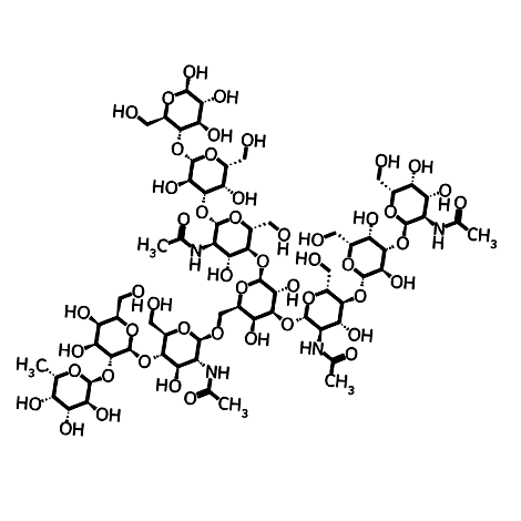 CC(=O)N[C@H]1[C@H](O[C@H]2[C@@H](O)[C@@H](CO)O[C@@H](O[C@H]3[C@H](O)[C@@H](O)[C@H](O)O[C@@H]3CO)[C@@H]2O)O[C@H](CO)[C@@H](O[C@@H]2O[C@H](CO[C@@H]3O[C@H](CO)[C@@H](O[C@@H]4O[C@H](CO)[C@H](O)[C@H](O)[C@H]4O[C@@H]4O[C@@H](C)[C@@H](O)[C@@H](O)[C@@H]4O)[C@H](O)[C@H]3NC(C)=O)[C@H](O)[C@H](O[C@@H]3O[C@H](CO)[C@@H](O[C@@H]4O[C@H](CO)[C@H](O)[C@H](O[C@H]5O[C@H](CO)[C@H](O)[C@H](O)[C@H]5NC(C)=O)[C@H]4O)[C@H](O)[C@H]3NC(C)=O)[C@H]2O)[C@@H]1O